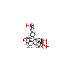 C[C@]12C[C@H](c3ccc(/C=N/O)cc3)C3=C4CCOC=C4CCC3C1CC[C@@]2(O)CO